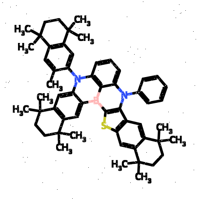 Cc1cc2c(cc1N1c3cc4c(cc3B3c5sc6cc7c(cc6c5N(c5ccccc5)c5cccc1c53)C(C)(C)CCC7(C)C)C(C)(C)CCC4(C)C)C(C)(C)CCC2(C)C